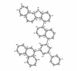 c1ccc(-c2nc(-c3cccc4c(-c5cccc6oc7c8cnccc8ccc7c56)cccc34)nc(-c3cc4ccccc4c4ccccc34)n2)cc1